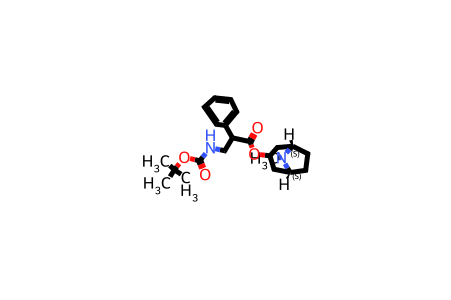 CN1[C@H]2CC[C@H]1CC(OC(=O)C(CNC(=O)OC(C)(C)C)c1ccccc1)C2